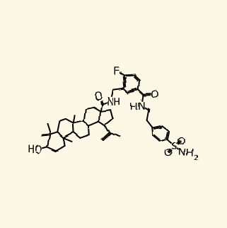 C=C(C)C1CCC2(C(=O)NCc3cc(C(=O)NCCc4ccc(S(N)(=O)=O)cc4)ccc3F)CCC3C(CCC4C3(C)CCC3C(C)(C)C(O)CCC34C)C12